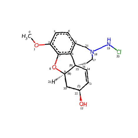 COc1ccc2c3c1O[C@@H]1C[C@H](O)C=C[C@]31CCN(NCl)C2